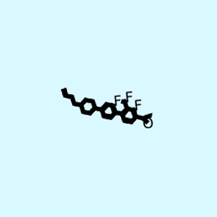 C=CCCC1CCC(c2ccc(-c3ccc(C4CO4)c(F)c3C(F)F)cc2)CC1